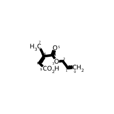 C=CCOC(=O)C(C)=CC(=O)O